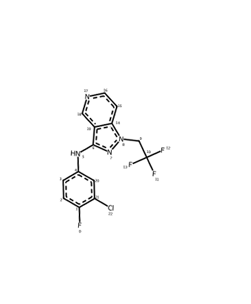 Fc1ccc(Nc2nn(CC(F)(F)F)c3ccncc23)cc1Cl